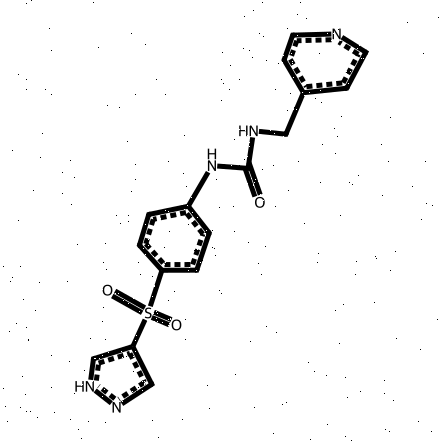 O=C(NCc1ccncc1)Nc1ccc(S(=O)(=O)c2cn[nH]c2)cc1